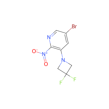 O=[N+]([O-])c1ncc(Br)cc1N1CC(F)(F)C1